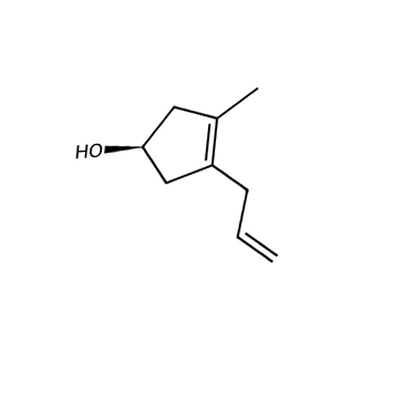 C=CCC1=C(C)C[C@H](O)C1